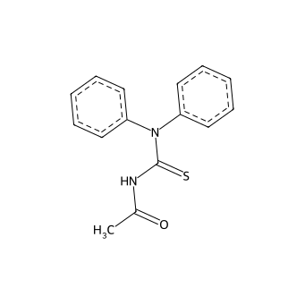 CC(=O)NC(=S)N(c1ccccc1)c1ccccc1